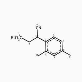 CCOC(=O)CC(C#N)c1ccc(C)cc1C